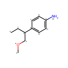 CCC(COC)c1ccc(N)cc1